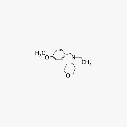 CCN(Cc1ccc(OC)cc1)C1CCOCC1